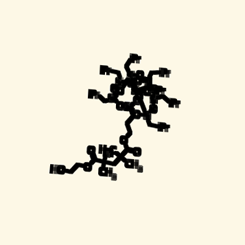 CCC(C)(CC(C)(C)C(=O)OCCC[Si]12O[Si]3(CC(C)C)O[Si]4(CC(C)C)O[Si](CC(C)C)(O1)O[Si]1(CC(C)C)O[Si](CC(C)C)(O2)O[Si](CC(C)C)(O3)O[Si](CC(C)C)(O4)O1)C(=O)OCCO